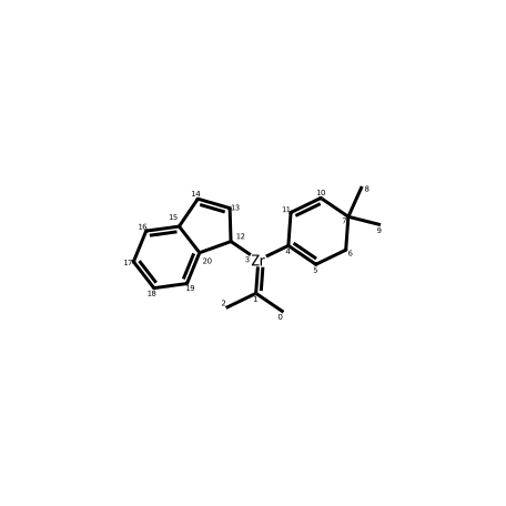 C[C](C)=[Zr]([C]1=CCC(C)(C)C=C1)[CH]1C=Cc2ccccc21